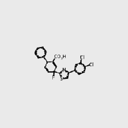 O=C(O)C1=CC(F)(c2nc(-c3ccc(Cl)c(Cl)c3)cs2)C=CC1c1ccccc1